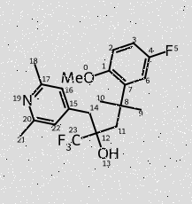 COc1ccc(F)cc1C(C)(C)CC(O)(Cc1cc(C)nc(C)c1)C(F)(F)F